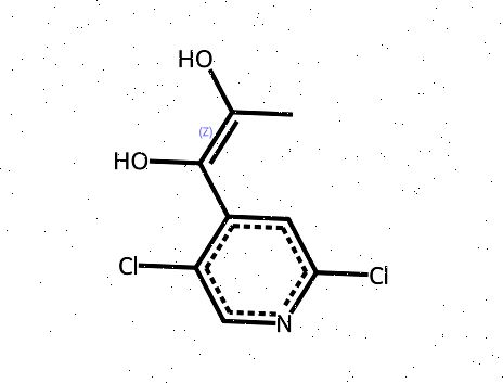 C/C(O)=C(/O)c1cc(Cl)ncc1Cl